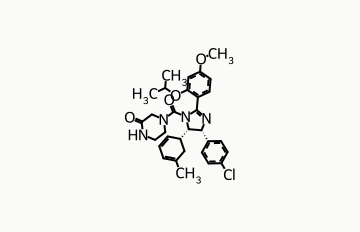 COc1ccc(C2=N[C@H](c3ccc(Cl)cc3)[C@H](C3C=CC=C(C)C3)N2C(=O)N2CCNC(=O)C2)c(OC(C)C)c1